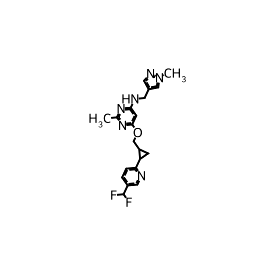 Cc1nc(NCc2cnn(C)c2)cc(OCC2CC2c2ccc(C(F)F)cn2)n1